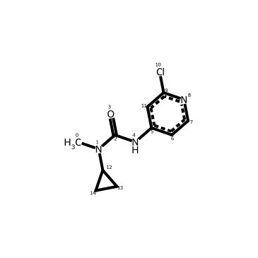 CN(C(=O)Nc1ccnc(Cl)c1)C1CC1